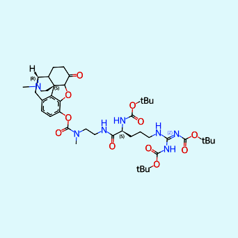 CN(CCNC(=O)[C@H](CCCN/C(=N/C(=O)OC(C)(C)C)NC(=O)OC(C)(C)C)NC(=O)OC(C)(C)C)C(=O)Oc1ccc2c3c1OC1C(=O)CCC4[C@@H](C2)N(C)CC[C@]314